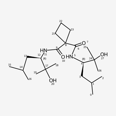 CC(C)C[C@@H](NC(=O)C1(C(=O)N[C@H](CC(C)C)C(C)(C)O)CCC1)C(C)(C)O